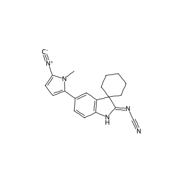 [C-]#[N+]c1ccc(-c2ccc3c(c2)C2(CCCCC2)C(=NC#N)N3)n1C